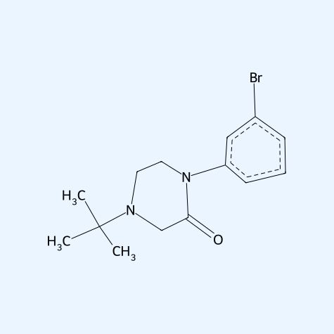 CC(C)(C)N1CCN(c2cccc(Br)c2)C(=O)C1